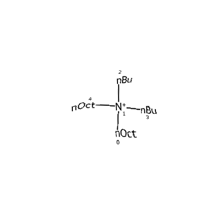 CCCCCCCC[N+](CCCC)(CCCC)CCCCCCCC